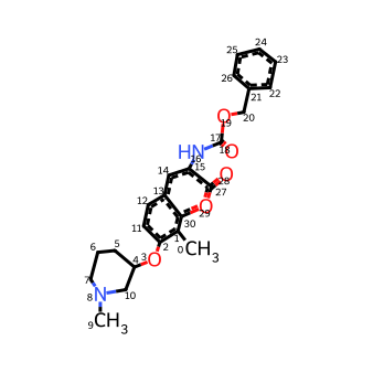 Cc1c(OC2CCCN(C)C2)ccc2cc(NC(=O)OCc3ccccc3)c(=O)oc12